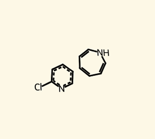 C1=CC=CNC=C1.Clc1ccccn1